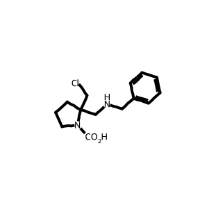 O=C(O)N1CCCC1(CCl)CNCc1ccccc1